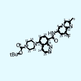 Cc1cn2cc(NC(=O)c3ccc(N4CCN(C(=O)OC(C)(C)C)CC4)c4ccnnc34)cc(F)c2n1